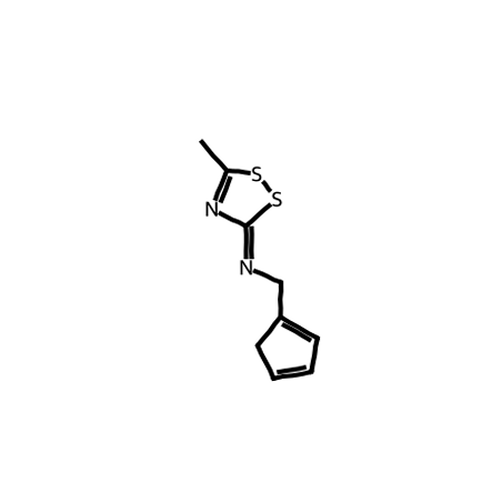 Cc1n/c(=N/CC2=CC=CC2)ss1